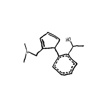 CC(O)c1ccccc1C1C=CC=C1CN(C)C